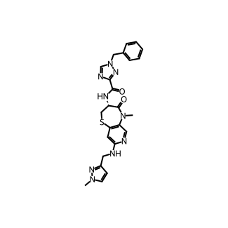 CN1C(=O)[C@@H](NC(=O)c2ncn(Cc3ccccc3)n2)CSc2cc(NCc3ccn(C)n3)ncc21